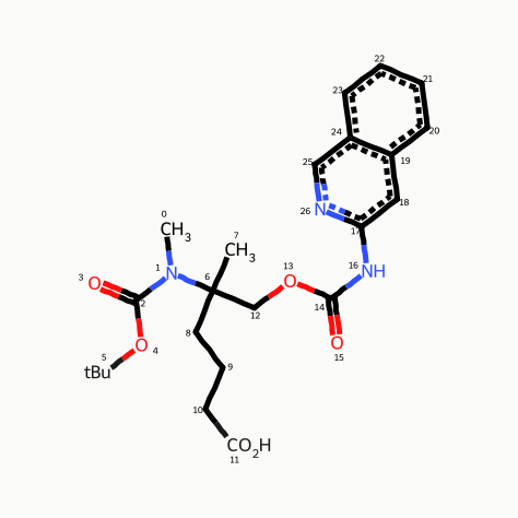 CN(C(=O)OC(C)(C)C)C(C)(CCCC(=O)O)COC(=O)Nc1cc2ccccc2cn1